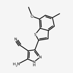 COc1cc(C)cc2cc(-c3n[nH]c(N)c3C#N)sc12